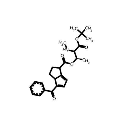 CNC(C(=O)OC(C)(C)C)[C@@H](C)OC(=O)C1CCC2C(C(=O)c3ccccc3)=CC=C12